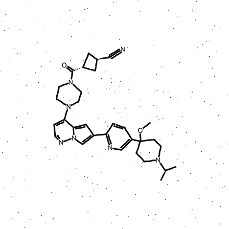 COC1(c2ccc(-c3cc4c(N5CCN(C(=O)[C@H]6C[C@H](C#N)C6)CC5)ccnn4c3)nc2)CCN(C(C)C)CC1